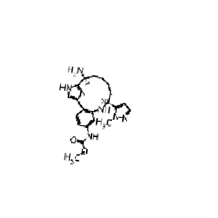 COC(=O)Nc1ccc2c(c1)N[C@H](c1ccnn1C)CCCC[C@H](N)c1nc-2c[nH]1